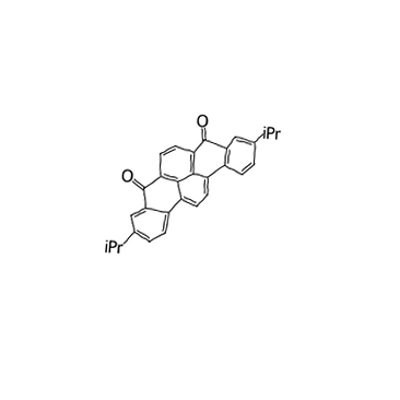 CC(C)c1ccc2c(c1)C(=O)c1ccc3c4c(ccc-2c14)-c1ccc(C(C)C)cc1C3=O